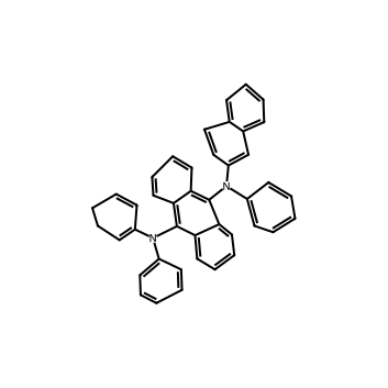 C1=CC(N(c2ccccc2)c2c3ccccc3c(N(c3ccccc3)c3ccc4ccccc4c3)c3ccccc23)=CCC1